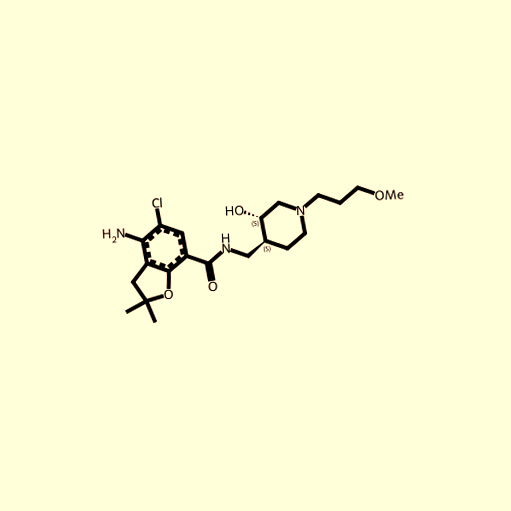 COCCCN1CC[C@@H](CNC(=O)c2cc(Cl)c(N)c3c2OC(C)(C)C3)[C@H](O)C1